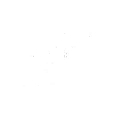 C=CCC(CNc1c(C)cc(C)cc1C)Nc1c(C)cc(C)cc1C